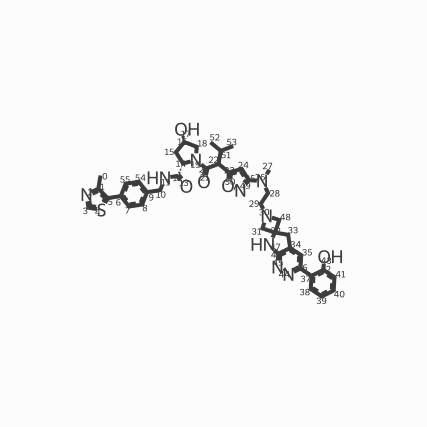 Cc1ncsc1-c1ccc(CNC(=O)[C@@H]2C[C@@H](O)CN2C(=O)C(c2cc(N(C)CCN3CC4(Cc5cc(-c6ccccc6O)nnc5N4)C3)no2)C(C)C)cc1